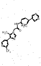 C=C(/C=C\C(=C/C)c1cncnc1)NC(=O)Cn1cnc(-c2ccnc(C(F)(F)F)c2)c1C